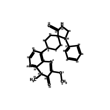 COc1nc2c(N3CCC4(CC3)C(=O)NCN4c3ccccc3)ncnc2n(C)c1=O